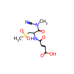 CN(C#N)C(=O)C(CS(C)(=O)=O)NC(=O)/C=C/C(=O)O